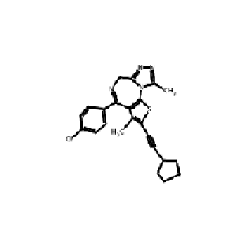 Cc1c(C#CC2CCCC2)sc2c1C(c1ccc(Cl)cc1)=NCc1nnc(C)n1-2